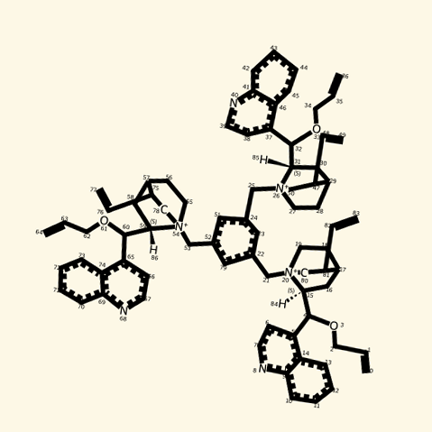 C=CCOC(c1ccnc2ccccc12)[C@@H]1CC2CC[N+]1(Cc1cc(C[N+]34CCC(C[C@H]3C(OCC=C)c3ccnc5ccccc35)C(C=C)C4)cc(C[N+]34CCC(C[C@H]3C(OCC=C)c3ccnc5ccccc35)C(C=C)C4)c1)CC2C=C